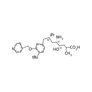 CC(C[C@H](O)[C@@H](N)C[C@H](Cc1ccc(C(C)(C)C)c(OCc2ccncc2)c1)C(C)C)C(=O)O